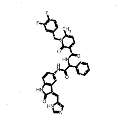 Cc1ccc(C(=O)NC(C(=O)Nc2ccc3c(c2)/C(=C/c2cnc[nH]2)C(=O)N3)c2ccccc2)c(=O)n1Cc1ccc(F)c(F)c1